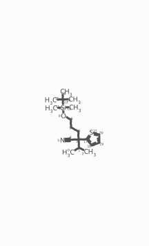 CC(C)C(C#N)(CCCO[Si](C)(C)C(C)(C)C)c1cccs1